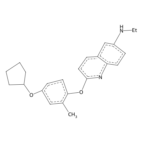 CCNc1ccc2nc(Oc3ccc(OC4CCCC4)cc3C)ccc2c1